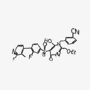 CCOCc1nc(=O)c(S(=O)(=O)c2ccc(-c3ccnc(F)c3C)c(F)c2)c(O)n1Cc1cccc(C#N)c1